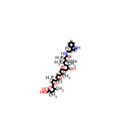 CCC1(C2OC(C3OC(O)(CO)C(C)CC3C)CC2C)CCC(C2(C)CCC3(CC(O)C(C)C(C(C)C(OC)C(C)C(=O)N[C@H](Cc4c[nH]c5ccccc45)C(=O)O)O3)O2)O1